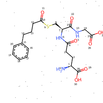 N[C@@H](CCC(=O)N[C@@H](CSC(=O)CCCc1ccccc1)C(=O)NCC(=O)O)C(=O)O